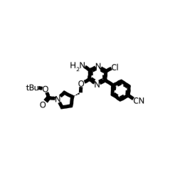 CC(C)(C)OC(=O)N1CC[C@@H](COc2nc(-c3ccc(C#N)cc3)c(Cl)nc2N)C1